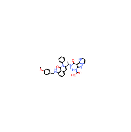 COc1ccc(CNc2cccc3cc(C(C)NC(=O)c4c(NC(=O)O)nn5cccnc45)n(-c4ccccc4)c(=O)c23)cc1